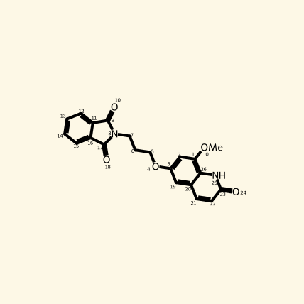 COc1cc(OCCCN2C(=O)c3ccccc3C2=O)cc2ccc(=O)[nH]c12